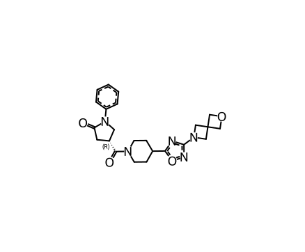 O=C([C@@H]1CC(=O)N(c2ccccc2)C1)N1CCC(c2nc(N3CC4(COC4)C3)no2)CC1